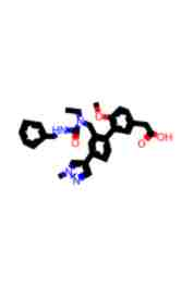 CCN(Cc1cc(-c2cnn(C)c2)ccc1-c1cc(CC(=O)O)ccc1OC)C(=O)NCc1ccccc1